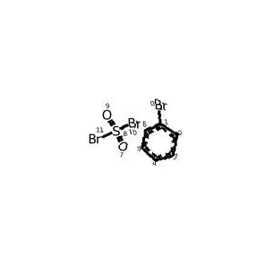 Brc1ccccc1.O=S(=O)(Br)Br